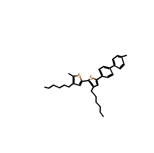 CCCCCCc1cc(-c2sc(-c3ccc(-c4ccc(C)cc4)cc3)cc2CCCCCC)sc1C